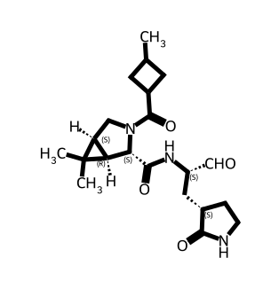 CC1CC(C(=O)N2C[C@H]3[C@@H]([C@H]2C(=O)N[C@H](C=O)C[C@@H]2CCNC2=O)C3(C)C)C1